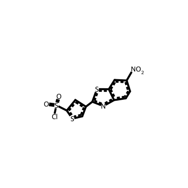 O=[N+]([O-])c1ccc2nc(-c3csc(S(=O)(=O)Cl)c3)sc2c1